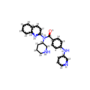 O=C(c1ccc(Nc2cccnc2)cc1)N(c1ccc2ccccc2n1)[C@@H]1CCCNC1